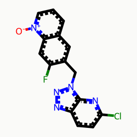 [O-][n+]1cccc2cc(Cn3nnc4ccc(Cl)nc43)c(F)cc21